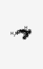 NC1CCC(C[n+]2cc([N-]C(=O)Nc3cc(N4CCC(c5ccccc5)C4=O)cc(C(F)(F)F)c3)on2)CC1